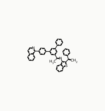 C=C(c1ccccc1)c1sc2ccccc2c1/N=C(\C)c1cc(-c2ccccc2)cc(-c2ccc(-c3nccc4ccccc34)cc2)c1